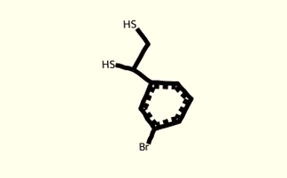 SCC(S)c1cccc(Br)c1